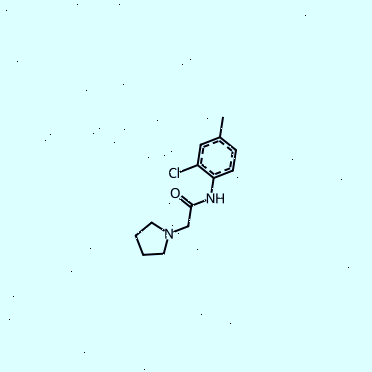 Cc1ccc(NC(=O)CN2CCCC2)c(Cl)c1